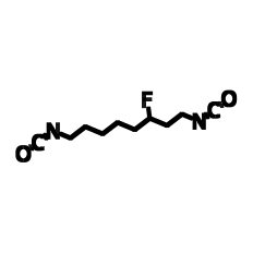 O=C=NCCCCCC(F)CCN=C=O